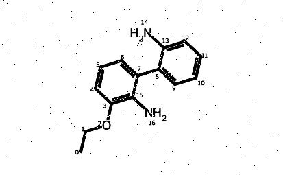 CCOc1cccc(-c2ccccc2N)c1N